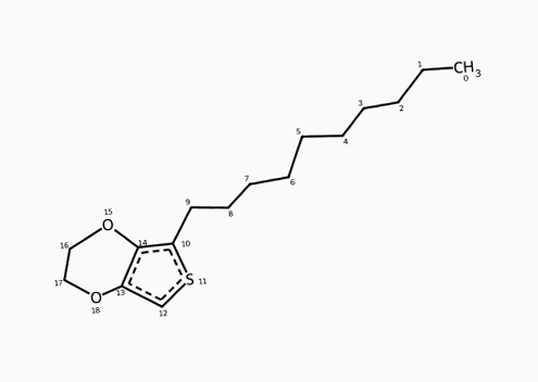 CCCCCCCCCCc1scc2c1OCCO2